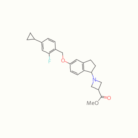 COC(=O)C1CN(C2CCc3cc(OCc4ccc(C5CC5)cc4F)ccc32)C1